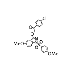 COc1ccc(S(=O)(=O)n2nc(OCC(=O)c3ccc(Cl)cc3)c3cc(OC)ccc32)cc1